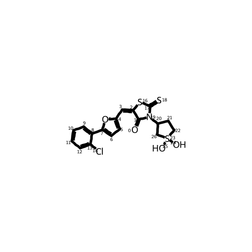 O=C1/C(=C\c2ccc(-c3ccccc3Cl)o2)SC(=S)N1C1CCS(O)(O)C1